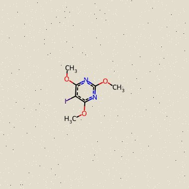 COc1nc(OC)c(I)c(OC)n1